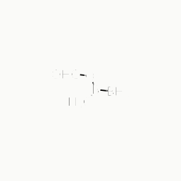 BB(C)OC=O